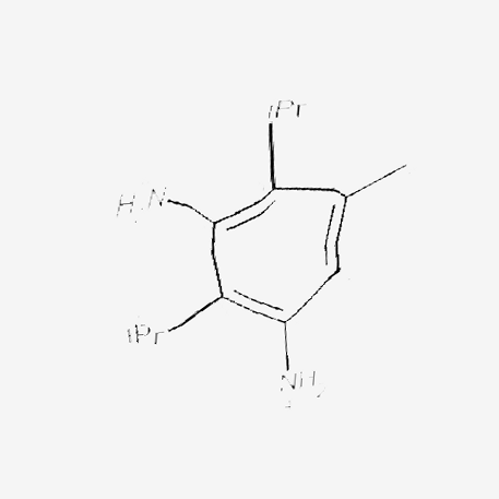 Cc1cc(N)c(C(C)C)c(N)c1C(C)C